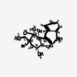 OC[C@@]1(Br)O[C@@H](O)[C@H](O)[C@](O)(c2c[nH]c3ccccc23)[C@]1(O)Cl